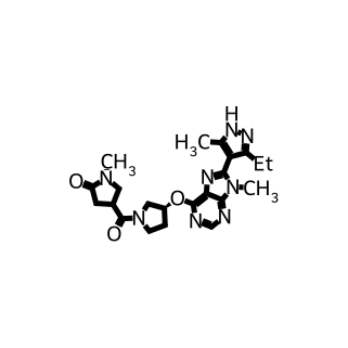 CCc1n[nH]c(C)c1-c1nc2c(O[C@H]3CCN(C(=O)C4CC(=O)N(C)C4)C3)ncnc2n1C